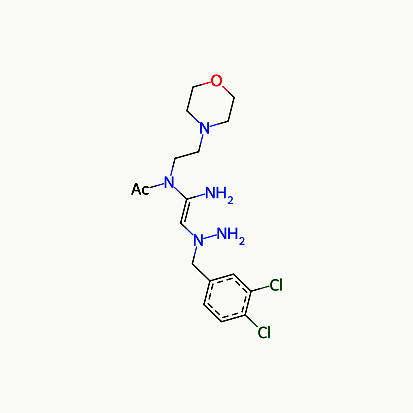 CC(=O)N(CCN1CCOCC1)/C(N)=C/N(N)Cc1ccc(Cl)c(Cl)c1